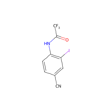 N#Cc1ccc(NC(=O)C(F)(F)F)c(I)c1